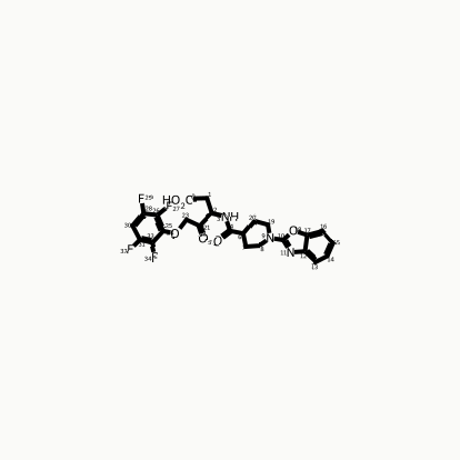 O=C(O)CC(NC(=O)C1CCN(c2nc3ccccc3o2)CC1)C(=O)COc1c(F)c(F)cc(F)c1F